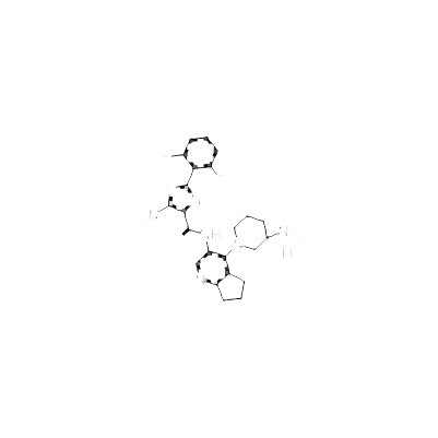 C[C@@]1(N)CCCN(c2c(NC(=O)c3nc(-c4c(F)cccc4F)sc3N)cnc3c2CCC3)C1